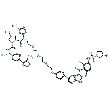 Cc1cc([C@H](CCOCCOCCOCCOc2ccc(-c3cnc4[nH]cc(C(=O)c5c(F)ccc(NS(=O)(=O)N6CC[C@@H](F)C6)c5F)c4c3)cc2)C(=O)C2C[C@H](O)C[C@H]2C(=O)N[C@@H](C)c2ccc(-c3scnc3C)cc2)on1